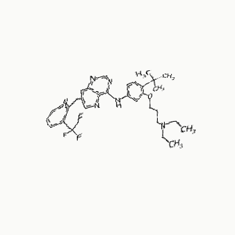 CCN(CC)CCCOc1cc(Nc2ncnc3cc(-c4ncccc4C(F)(F)F)cnc23)ccc1C(C)(C)C